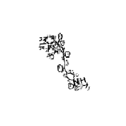 CC(=O)Nc1ccc(C(=O)CCC(=O)NCC2CN(c3cccc(F)c3N3CCSCC3)C(=O)O2)cc1